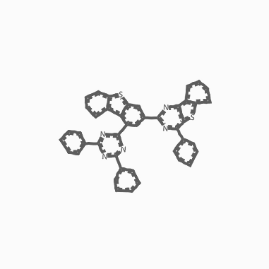 c1ccc(-c2nc(-c3ccccc3)nc(-c3cc(-c4nc(-c5ccccc5)c5sc6ccccc6c5n4)cc4sc5ccccc5c34)n2)cc1